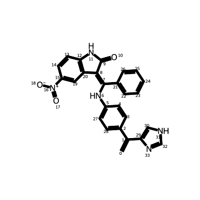 C=C(c1ccc(NC(=C2C(=O)Nc3ccc([N+](=O)[O-])cc32)c2ccccc2)cc1)c1c[nH]cn1